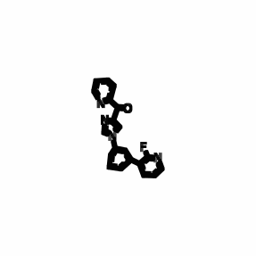 O=C(c1ccccn1)c1cn(-c2cccc(-c3cccnc3F)c2)cn1